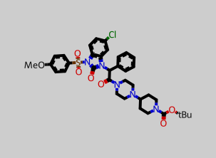 COc1ccc(S(=O)(=O)n2c(=O)n(C(C(=O)N3CCN(C4CCN(C(=O)OC(C)(C)C)CC4)CC3)c3ccccc3)c3cc(Cl)ccc32)cc1